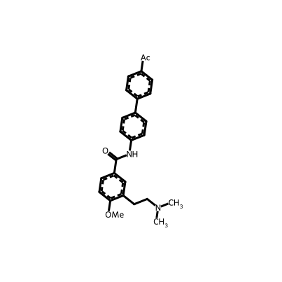 COc1ccc(C(=O)Nc2ccc(-c3ccc(C(C)=O)cc3)cc2)cc1CCN(C)C